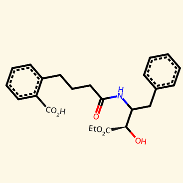 CCOC(=O)[C@H](O)C(Cc1ccccc1)NC(=O)CCCc1ccccc1C(=O)O